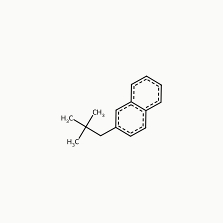 CC(C)(C)Cc1ccc2ccccc2c1